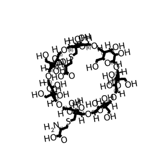 NC(CSCC1O[C@H]2O[C@@H]3C(CO)O[C@H](O[C@@H]4C(CO)O[C@H](O[C@@H]5C(CO)O[C@H](O[C@@H]6C(CSC[C@@H](N)C(=O)O)O[C@H](O[C@@H]7C(CO)O[C@@H](O[C@@H]8C(CO)O[C@@H](O[C@@H]1[C@H](O)C2O)C(O)[C@H]8O)C(O)[C@H]7O)C(O)[C@H]6O)C(O)[C@H]5O)C(O)[C@H]4O)C(O)[C@H]3O)C(=O)O